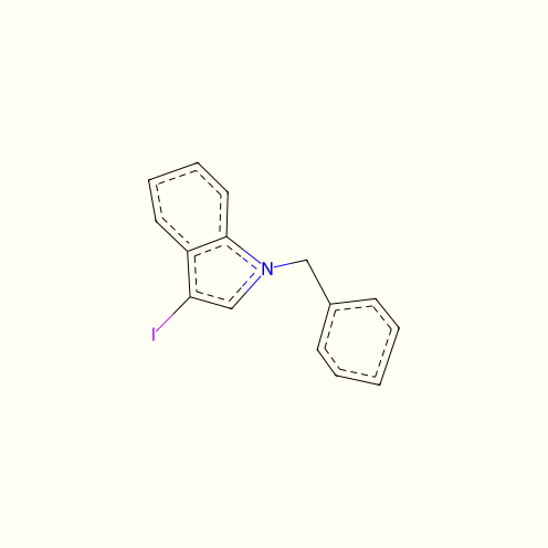 Ic1cn(Cc2ccccc2)c2ccccc12